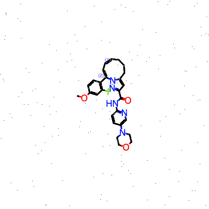 COc1ccc(/C2=C/C=C\CCCc3cc(C(=O)Nc4ccc(N5CCOCC5)cn4)nn32)c(F)c1